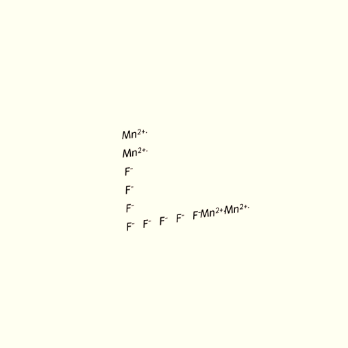 [F-].[F-].[F-].[F-].[F-].[F-].[F-].[F-].[Mn+2].[Mn+2].[Mn+2].[Mn+2]